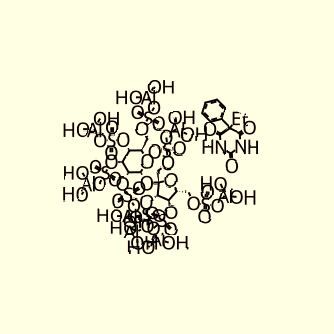 CCC1(c2ccccc2)C(=O)NC(=O)NC1=O.O=S(=O)(OC[C@H]1O[C@@](COS(=O)(=O)[O][Al]([OH])[OH])(O[C@H]2O[C@H](COS(=O)(=O)[O][Al]([OH])[OH])[C@@H](OS(=O)(=O)[O][Al]([OH])[OH])[C@H](OS(=O)(=O)[O][Al]([OH])[OH])[C@H]2OS(=O)(=O)[O][Al]([OH])[OH])[C@@H](OS(=O)(=O)[O][Al]([OH])[OH])[C@@H]1OS(=O)(=O)[O][Al]([OH])[OH])[O][Al]([OH])[OH]